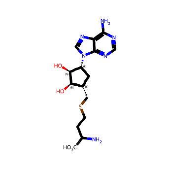 Nc1ncnc2c1ncn2[C@@H]1C[C@H](CSCCC(N)C(=O)O)[C@@H](O)[C@H]1O